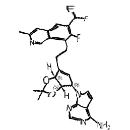 Cc1cc2cc(C(F)F)c(F)c(CCC3=C[C@@H](n4ccc5c(N)ncnc54)[C@@H]4OC(C)(C)O[C@H]34)c2cn1